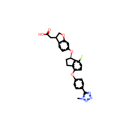 Cn1nnnc1-c1ccc(Oc2ccc(F)c3c2CC[C@H]3Oc2ccc3c(c2)OCC3CC(=O)O)cc1